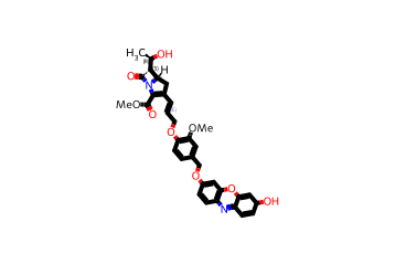 COC(=O)C1=C(/C=C/COc2ccc(COc3ccc4c(c3)OC3=CC(O)C=CC3=N4)cc2OC)C[C@@H]2[C@@H]([C@@H](C)O)C(=O)N12